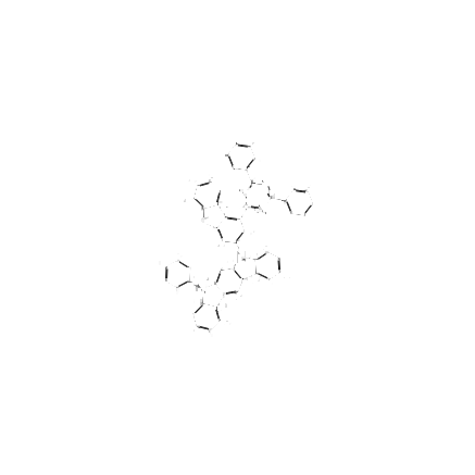 c1ccc(-c2nc(-c3ccccc3)nc(-c3cc(-n4c5ccccc5c5cc6c7ccccc7n(-c7ccccc7)c6cc54)cc4sc5ccccc5c34)n2)cc1